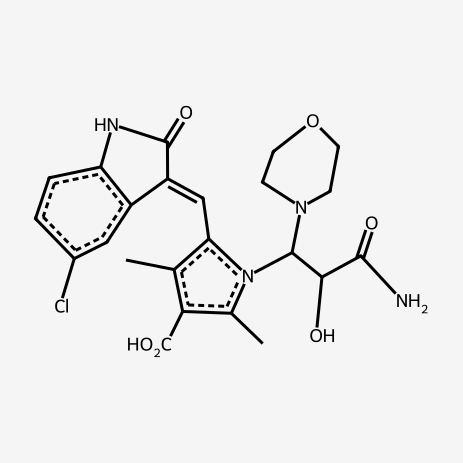 Cc1c(C(=O)O)c(C)n(C(C(O)C(N)=O)N2CCOCC2)c1C=C1C(=O)Nc2ccc(Cl)cc21